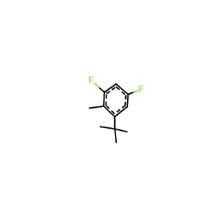 Cc1c(F)cc(F)cc1C(C)(C)C